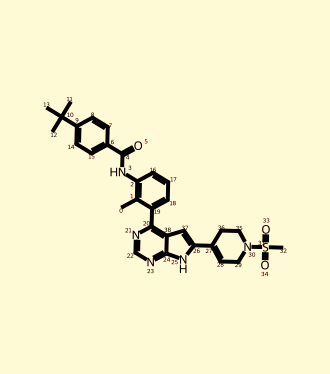 Cc1c(NC(=O)c2ccc(C(C)(C)C)cc2)cccc1-c1ncnc2[nH]c(C3=CCN(S(C)(=O)=O)CC3)cc12